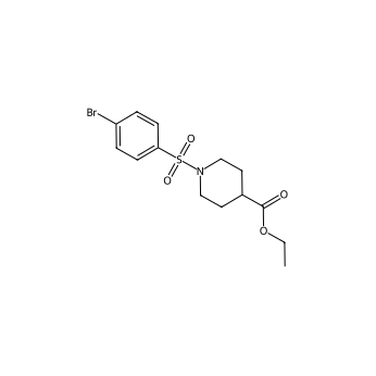 CCOC(=O)C1CCN(S(=O)(=O)c2ccc(Br)cc2)CC1